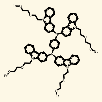 CCOCCOCCn1c2ccccc2c2cc(N(c3ccc(N(c4ccc5c(c4)c4ccccc4n5CCOCCOCC)c4ccc5c(c4)c4ccccc4n5CCOCCOCC)cc3)c3ccc4c(c3)c3ccccc3n4CCOCCOCC)ccc21